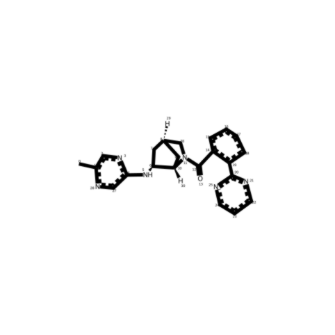 Cc1cnc(N[C@@H]2C[C@@H]3C[C@@H]2N(C(=O)c2ccccc2-c2ncccn2)C3)cn1